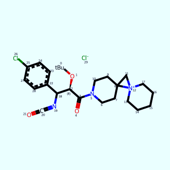 CC(C)(C)O[C@@H](C(=O)N1CCC2(CC1)C[N+]21CCCCC1)C(N=C=O)c1ccc(Cl)cc1.[Cl-]